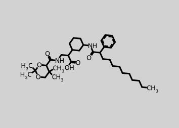 CCCCCCCCCCC(C(=O)NC1CCCC(C(CNC(=O)C2OC(C)(C)OCC2(C)C)C(=O)O)C1)c1ccccc1